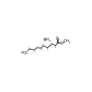 CCCCCCCCCC(=O)OC.N